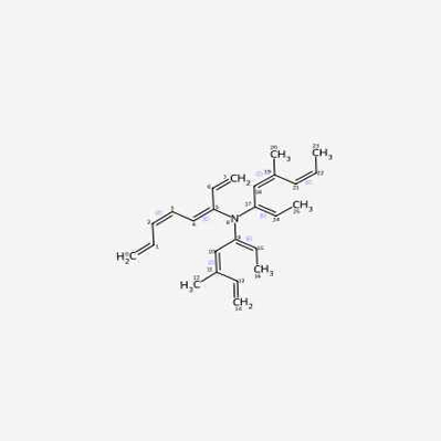 C=C/C=C\C=C(/C=C)N(C(/C=C(/C)C=C)=C/C)C(/C=C(C)\C=C/C)=C/C